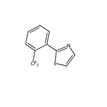 FC(F)(F)c1ccccc1-c1nc[c]s1